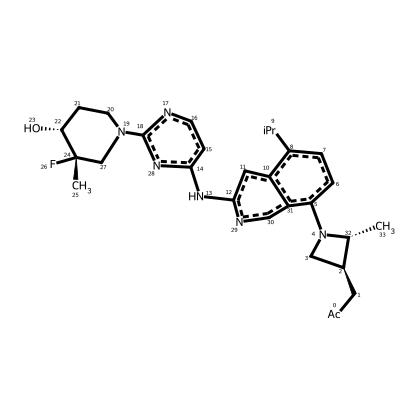 CC(=O)C[C@H]1CN(c2ccc(C(C)C)c3cc(Nc4ccnc(N5CC[C@@H](O)[C@@](C)(F)C5)n4)ncc23)[C@@H]1C